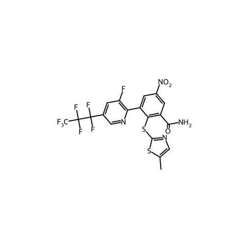 Cc1cnc(Sc2c(C(N)=O)cc([N+](=O)[O-])cc2-c2ncc(C(F)(F)C(F)(F)C(F)(F)F)cc2F)s1